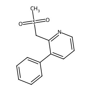 CS(=O)(=O)Cc1ncccc1-c1ccccc1